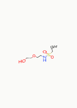 CSCS(=O)(=O)NCCOCCO